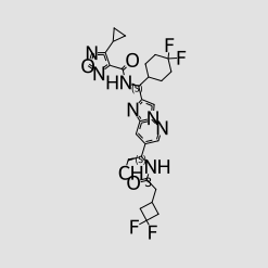 CC[C@H](NC(=O)CC1CC(F)(F)C1)c1cnn2cc([C@@H](NC(=O)c3nonc3C3CC3)C3CCC(F)(F)CC3)nc2c1